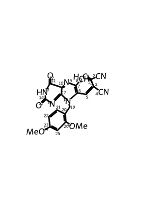 C=C(C#N)/C(C#N)=C\c1c(C)nc2c(=O)[nH]c(=O)nc-2n1Cc1ccc(OC)cc1OC